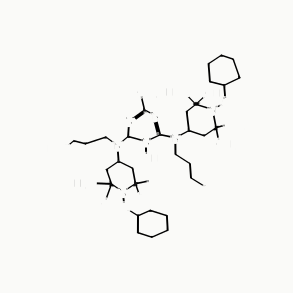 CCCCN(C1=NC(C)=NC(N(CCCC)C2CC(C)(C)N(OC3CCCCC3)C(C)(C)C2)N1C)C1CC(C)(C)N(OC2CCCCC2)C(C)(C)C1